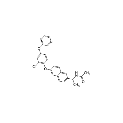 CC(=O)NC(C)c1ccc2cc(Oc3ccc(Oc4cnccn4)cc3Cl)ccc2c1